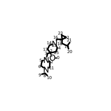 COC1(CN2CCN(C(C)C)CC2)CCN(CC2(CC(C)C)CC2)CC1